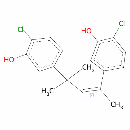 C/C(=C/C(C)(C)c1ccc(Cl)c(O)c1)c1ccc(Cl)c(O)c1